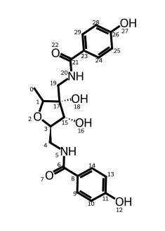 CC1O[C@H](CNC(=O)c2ccc(O)cc2)[C@@H](O)[C@]1(O)CNC(=O)c1ccc(O)cc1